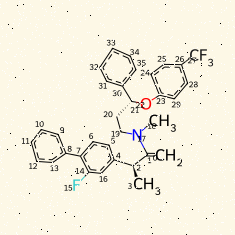 C=C([C@@H](C)c1ccc(-c2ccccc2)c(F)c1)N(C)CC[C@@H](Oc1ccc(C(F)(F)F)cc1)c1ccccc1